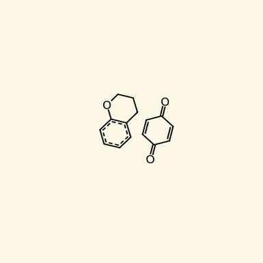 O=C1C=CC(=O)C=C1.c1ccc2c(c1)CCCO2